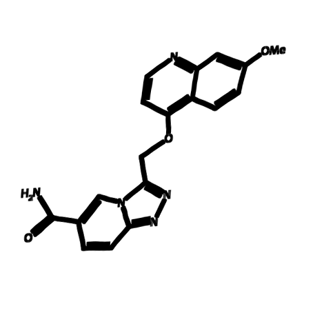 COc1ccc2c(OCc3nnc4ccc(C(N)=O)cn34)ccnc2c1